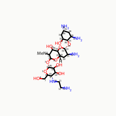 CNC1C(O[C@H]2OC(CO)[C@@H](NCCN)C(O)C2O)O[C@H]2CC(N)[C@@H](O[C@@H]3C(N)C[C@@H](N)CC3O)OC2C1O